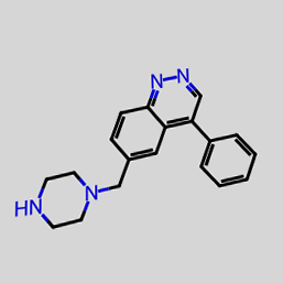 c1ccc(-c2cnnc3ccc(CN4CCNCC4)cc23)cc1